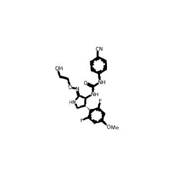 COc1cc(F)c([C@@H]2CN/C(=N\OCCO)C2NC(=O)Nc2ccc(C#N)cc2)c(F)c1